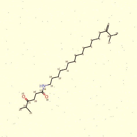 C=C(CCCCCCCCCCCCCCNC(=O)CCC(=O)C(C)C)C(C)C